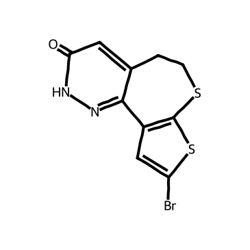 O=c1cc2c(n[nH]1)-c1cc(Br)sc1SCC2